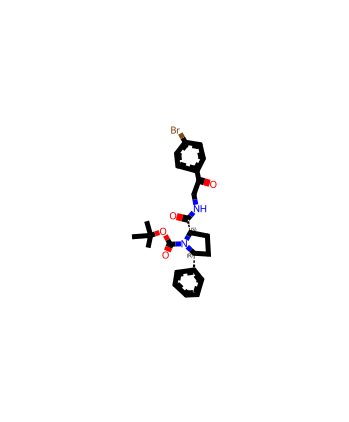 CC(C)(C)OC(=O)N1[C@@H](c2ccccc2)CC[C@H]1C(=O)NCC(=O)c1ccc(Br)cc1